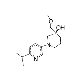 COC[C@]1(O)CCCN(c2ccc(C(C)C)nc2)C1